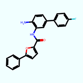 Nc1ccc(-c2ccc(F)cc2)cc1NC(=O)c1ccc(-c2ccccc2)o1